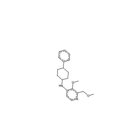 COCc1nccc(NC2CCC(c3ccccc3)CC2)c1OC